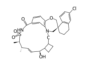 C[C@@H]1[C@@H](C)/C=C/[C@H](O)C2CCC2CN2C[C@@]3(CCCc4cc(Cl)ccc43)COc3ccc(cc32)C(=O)NS1(=O)=O